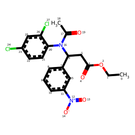 CCOC(=O)CC(c1cccc([N+](=O)[O-])c1)N(C(C)=O)c1ccc(Cl)cc1Cl